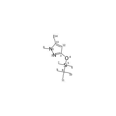 Cn1nc(O[Si](C)(C)C(C)(C)C)cc1I